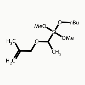 C=C(C)COC(C)[Si](OC)(OC)OCCCC